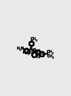 Cc1ccc(N(C(=O)[C@]2(C)CCC[C@@]3(C)[C@H]2CC=C2C=C(C(C)C)CC[C@@H]23)c2cc(N)ncn2)cc1